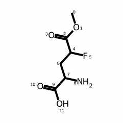 COC(=O)C(F)CC(N)C(=O)O